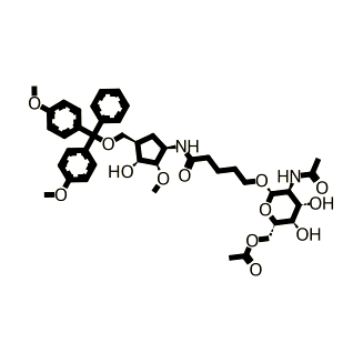 COc1ccc(C(OC[C@H]2C[C@@H](NC(=O)CCCCO[C@H]3O[C@@H](COC(C)=O)[C@@H](O)[C@@H](O)[C@@H]3NC(C)=O)[C@H](OC)[C@@H]2O)(c2ccccc2)c2ccc(OC)cc2)cc1